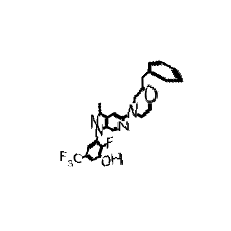 Cc1nn(-c2cc(C(F)(F)F)cc(O)c2F)c2cnc(N3CCOC(Cc4ccccc4)C3)cc12